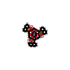 O=S(=O)(c1ccccc1)c1cccc2cccc(-c3ccc(N(c4ccc(-c5cccc6cccc(S(=O)(=O)c7ccccc7)c56)cc4)c4ccc(-c5cccc6cccc(S(=O)(=O)c7ccccc7)c56)cc4)cc3)c12